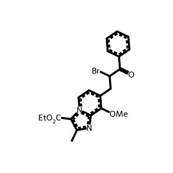 CCOC(=O)c1c(C)nc2c(OC)c(CC(Br)C(=O)c3ccccc3)ccn12